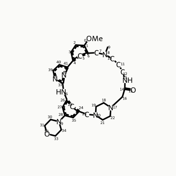 COc1ccc2cc1CN(C)CCCNC(=O)CN1CCN(CC1)Cc1cc(cc(N3CCOCC3)c1)Nc1nccc-2n1